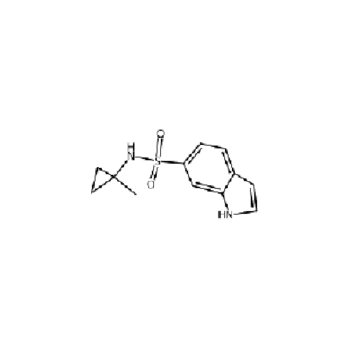 CC1(NS(=O)(=O)c2ccc3cc[nH]c3c2)CC1